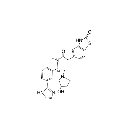 CN(C(=O)Cc1ccc2sc(=O)[nH]c2c1)[C@H](CN1CCC(O)C1)c1cccc(-c2ncc[nH]2)c1